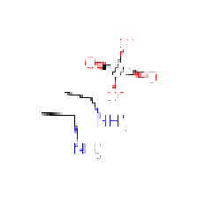 CC[NH3+].CC[NH3+].[O]=[W](=[O])([O-])[O-]